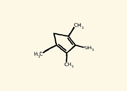 CC1=C(C)C([SiH3])=C(C)C1